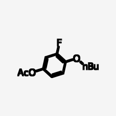 CCCCOc1ccc(OC(C)=O)cc1F